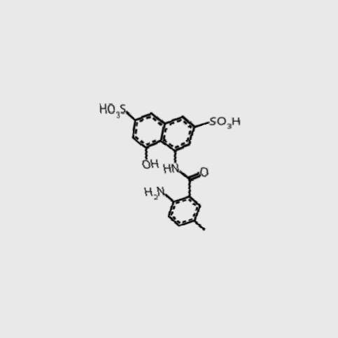 Cc1ccc(N)c(C(=O)Nc2cc(S(=O)(=O)O)cc3cc(S(=O)(=O)O)cc(O)c23)c1